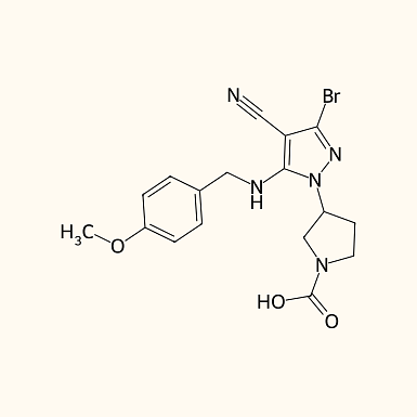 COc1ccc(CNc2c(C#N)c(Br)nn2C2CCN(C(=O)O)C2)cc1